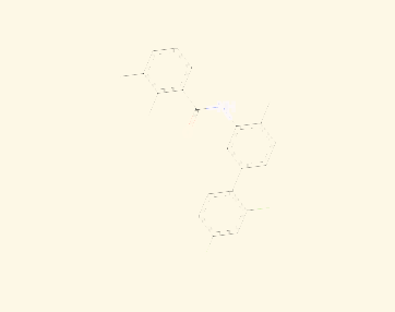 Cc1ccc(-c2ccc(F)cc2F)cc1NC(=O)c1cccc(C)c1C